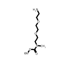 CN(CCOCCOCCN)C(=O)OC(C)(C)C